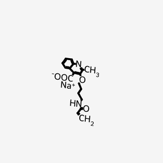 C=CC(=O)NCCCCOc1c(C)nc2ccccc2c1C(=O)[O-].[Na+]